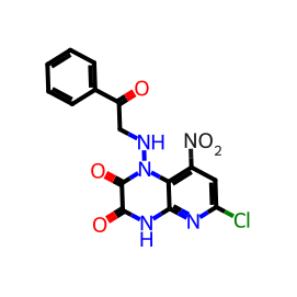 O=C(CNn1c(=O)c(=O)[nH]c2nc(Cl)cc([N+](=O)[O-])c21)c1ccccc1